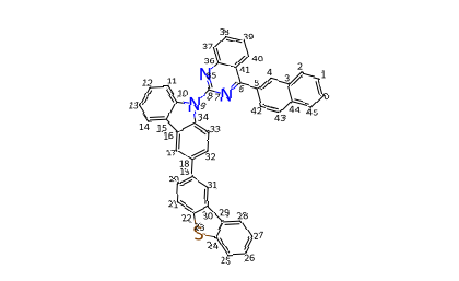 c1ccc2cc(-c3nc(-n4c5ccccc5c5cc(-c6ccc7sc8ccccc8c7c6)ccc54)nc4ccccc34)ccc2c1